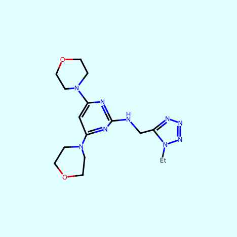 CCn1nnnc1CNc1nc(N2CCOCC2)cc(N2CCOCC2)n1